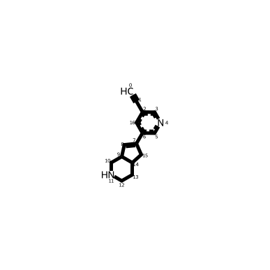 C#Cc1cncc(C2=CC3CNCCC3C2)c1